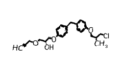 C#CCOC[C@@H](O)COc1ccc(Cc2ccc(OC[C@H](C)CCl)cc2)cc1